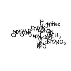 CCCCCCN1CCC(C(=O)Nc2ccncc2)CC1.Cc1nc2ccc(Cl)cn2c1C(=O)N1CCC(C(=O)Nc2ccncc2)CC1.O=C(Nc1ccnc(Cl)c1)C1CCN(C(=O)OCc2ccccc2)CC1.O=C(Nc1ccncc1)C1CCN(Cc2ccc([N+](=O)[O-])cc2)CC1